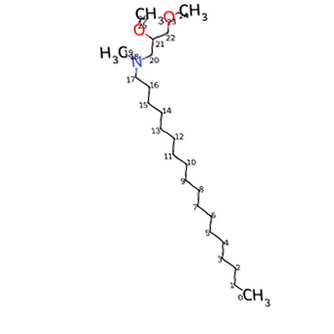 CCCCCCCCCCCCCCCCCCN(C)CC(COC)OC